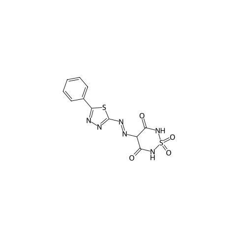 O=C1NS(=O)(=O)NC(=O)C1N=Nc1nnc(-c2ccccc2)s1